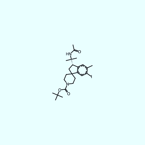 CC(=O)NC(C)(C)[C@H]1CC2(CCN(C(=O)OC(C)(C)C)CC2)c2cc(I)c(C)cc21